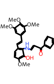 COc1ccc(C=Cc2cc(OC)c(OC)c(OC)c2)c(NC=CC(=O)c2ccccc2)c1O